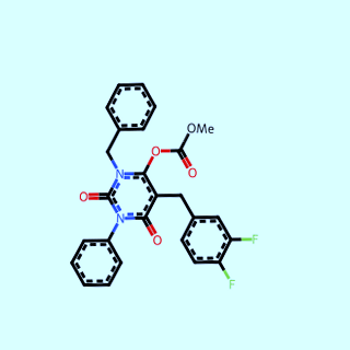 COC(=O)Oc1c(Cc2ccc(F)c(F)c2)c(=O)n(-c2ccccc2)c(=O)n1Cc1ccccc1